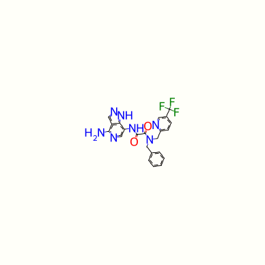 Nc1ncc(NC(=O)C(=O)N(Cc2ccccc2)Cc2ccc(C(F)(F)F)cn2)c2[nH]ncc12